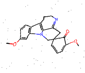 COC1=CC=CC2(CC3=NCCc4c3n(c3cc(OC)ccc43)C2)C1=O